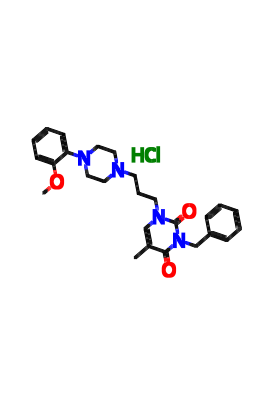 COc1ccccc1N1CCN(CCCn2cc(C)c(=O)n(Cc3ccccc3)c2=O)CC1.Cl